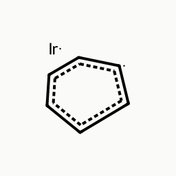 [Ir].[c]1ccccc1